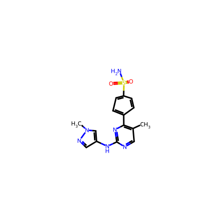 Cc1cnc(Nc2cnn(C)c2)nc1-c1ccc(S(N)(=O)=O)cc1